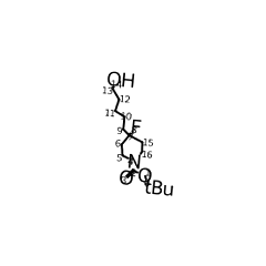 CC(C)(C)OC(=O)N1CCC(F)(CCCCCO)CC1